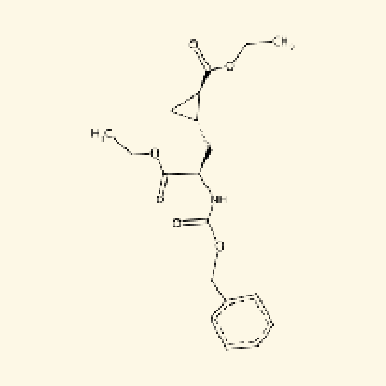 CCOC(=O)[C@@H](C[C@@H]1C[C@H]1C(=O)OCC)NC(=O)OCc1ccccc1